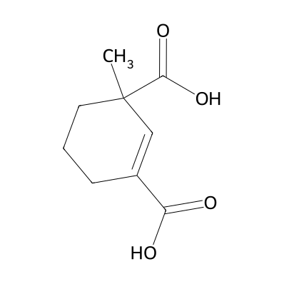 CC1(C(=O)O)C=C(C(=O)O)CCC1